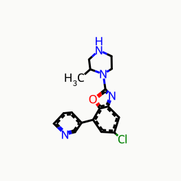 CC1CNCCN1c1nc2cc(Cl)cc(-c3cccnc3)c2o1